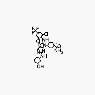 C[C@]1(C(N)=O)CC[C@H](n2c(Nc3c(Cl)cc(C(F)(F)F)cc3Cl)nc3cnc(N[C@@H]4CCC[C@H](O)C4)nc32)CC1